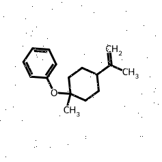 C=C(C)C1CCC(C)(Oc2ccccc2)CC1